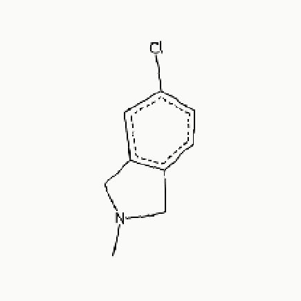 CN1Cc2ccc(Cl)cc2C1